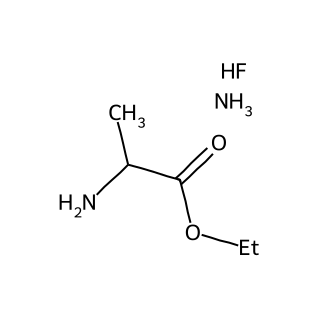 CCOC(=O)C(C)N.F.N